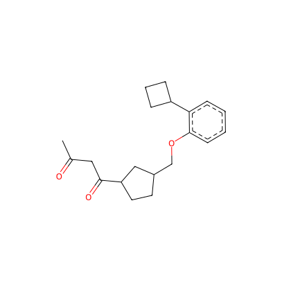 CC(=O)CC(=O)C1CCC(COc2ccccc2C2CCC2)C1